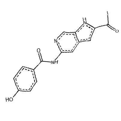 O=C(Nc1cc2cc(C(=O)I)[nH]c2cn1)c1ccc(O)cc1